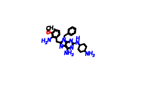 COc1cccc(Cc2nc3c(N)nc(NC4CCC(N)CC4)nc3n2Cc2ccccc2)c1N